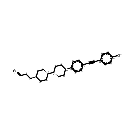 C=CCC[C@H]1CC[C@H]([C@H]2CC[C@H](c3ccc(C#Cc4ccc(Cl)cc4)cc3)CC2)CC1